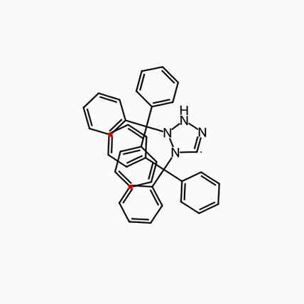 [C]1=NNN(C(c2ccccc2)(c2ccccc2)c2ccccc2)N1C(c1ccccc1)(c1ccccc1)c1ccccc1